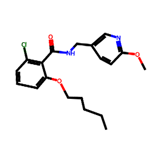 CCCCCOc1cccc(Cl)c1C(=O)NCc1ccc(OC)nc1